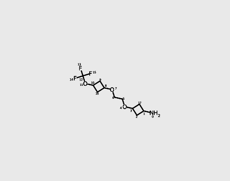 NC1CC(OCCOC2CC(OC(F)(F)F)C2)C1